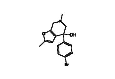 Cc1cc2c(o1)CN(C)CC2(O)c1ccc(Br)cc1